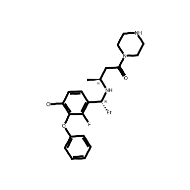 CC[C@@H](N[C@@H](C)CC(=O)N1CCNCC1)c1ccc(Cl)c(Oc2ccccc2)c1F